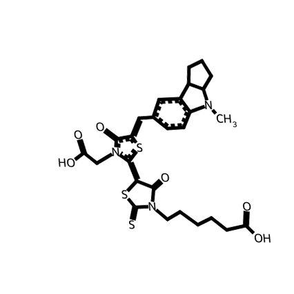 CN1c2ccc(/C=c3\s/c(=C4/SC(=S)N(CCCCCC(=O)O)C4=O)n(CC(=O)O)c3=O)cc2C2CCCC21